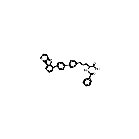 O=C(NC(CSCc1ccc(-c2ccc(-c3cccc4c3oc3ccccc34)cc2)cc1)C(=O)O)c1ccccc1